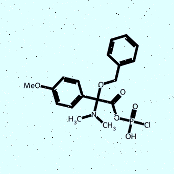 COc1ccc(C(OCc2ccccc2)(C(=O)OP(=O)(O)Cl)N(C)C)cc1